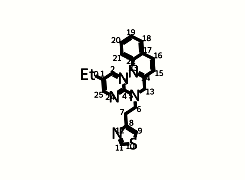 CCc1cnc(N(CCc2cs[c]n2)Cc2ccc3ccccc3n2)nc1